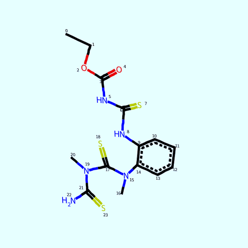 CCOC(=O)NC(=S)Nc1ccccc1N(C)C(=S)N(C)C(N)=S